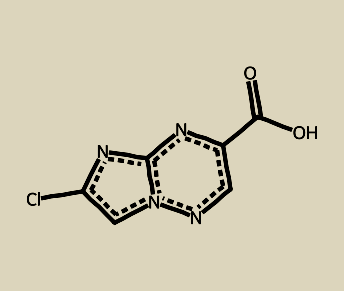 O=C(O)c1cnn2cc(Cl)nc2n1